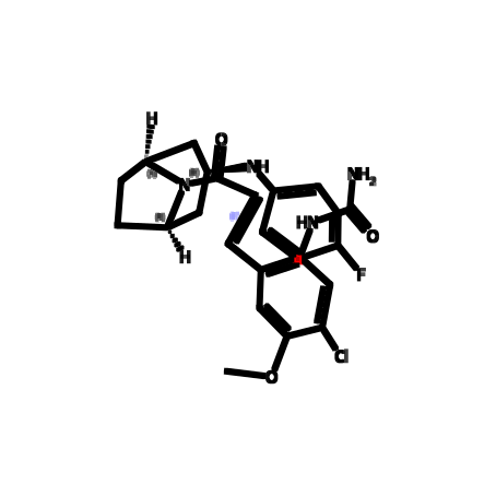 COc1cc(/C=C/C(=O)N2[C@@H]3CC[C@H]2C[C@@H](Nc2ccc(F)cc2)C3)c(NC(N)=O)cc1Cl